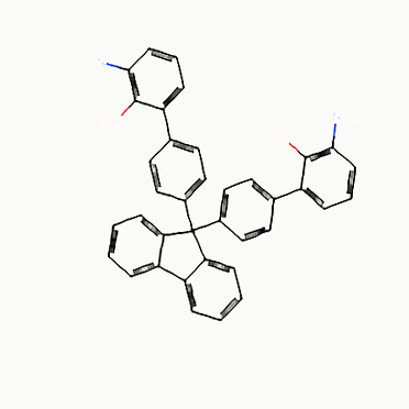 Nc1cccc(-c2ccc(C3(c4ccc(-c5cccc(N)c5O)cc4)c4ccccc4-c4ccccc43)cc2)c1O